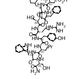 CC(C)C[C@H](NC(=O)[C@H](Cc1ccc(O)cc1)NC(=O)[C@@H](CCCNC(=N)N)NC(=O)[C@@H](CO)NC(=O)[C@H](Cc1ccccc1)NC(=O)[C@H](CC1CCCCC1)NC(=O)[C@@H](N)CC(=O)O)C(=O)N[C@@H](Cc1c[nH]c2ccccc12)C(=O)N[C@@H](CO)C(N)=O